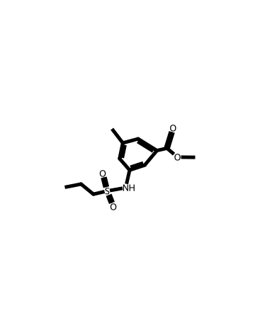 CCCS(=O)(=O)Nc1cc(C)cc(C(=O)OC)c1